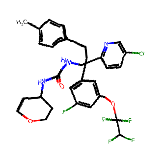 Cc1ccc(CC(NC(=O)NC2CCOCC2)(c2cc(F)cc(OC(F)(F)C(F)F)c2)c2ccc(Cl)cn2)cc1